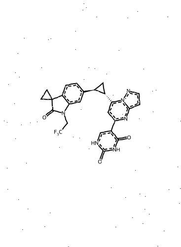 O=C1N(CC(F)(F)F)c2cc([C@H]3C[C@@H]3c3cc(-c4c[nH]c(=O)[nH]c4=O)nc4ccnn34)ccc2C12CC2